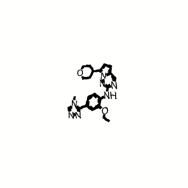 CCOc1cc(-c2nncn2C)ccc1Nc1ncc2ccc(C3CCOCC3)n2n1